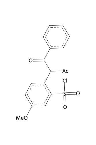 COc1ccc(C(C(C)=O)C(=O)c2ccccc2)c(S(=O)(=O)Cl)c1